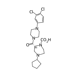 O=C([C@H]1CN(C2CCCC2)CCN1C(=O)O)N1CCN(c2ccc(Cl)c(Cl)c2)CC1